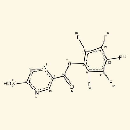 O=C(O)c1cnc(C(=O)Oc2c(F)c(F)c(F)c(F)c2F)cn1